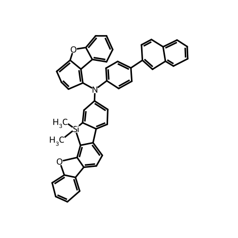 C[Si]1(C)c2cc(N(c3ccc(-c4ccc5ccccc5c4)cc3)c3cccc4oc5ccccc5c34)ccc2-c2ccc3c(oc4ccccc43)c21